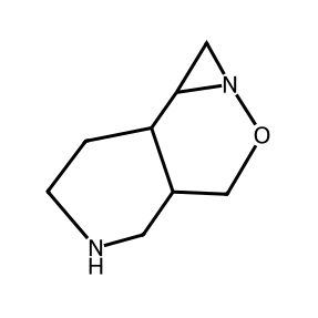 C1CC2C(CN1)CON1CC21